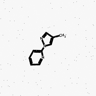 [CH2]c1cnn(-c2ccccn2)c1